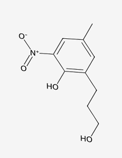 Cc1cc(CCCO)c(O)c([N+](=O)[O-])c1